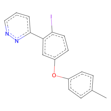 Cc1ccc(Oc2ccc(I)c(-c3cccnn3)c2)cc1